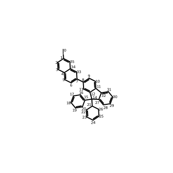 Ic1ccc2ccc(-c3ccc4c(c3)C(c3ccccc3)(C3C=CC=CC3)c3ccccc3-4)cc2c1